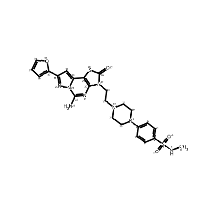 CNS(=O)(=O)c1ccc(N2CCN(CCn3c(=O)sc4c3nc(N)n3nc(-c5ccco5)cc43)CC2)cc1